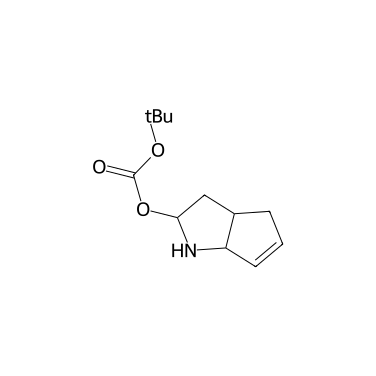 CC(C)(C)OC(=O)OC1CC2CC=CC2N1